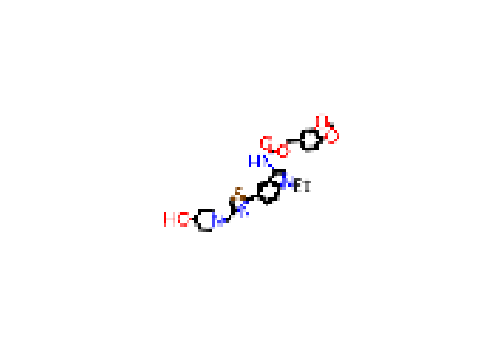 CCn1cc(NC(=O)OCc2ccc3c(c2)OCO3)c2cc(-c3nc(CN4CCC(O)CC4)cs3)ccc21